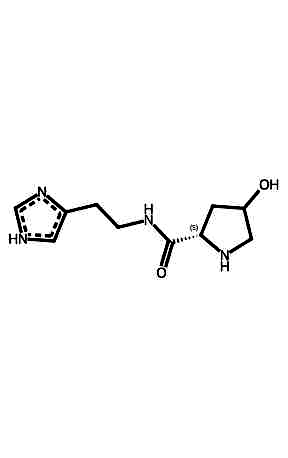 O=C(NCCc1c[nH]cn1)[C@@H]1CC(O)CN1